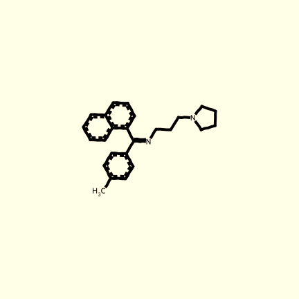 Cc1ccc(/C(=N/CCCN2CCCC2)c2cccc3ccccc23)cc1